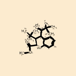 COC(=O)CC(C(c1ccccc1O)C(C)C(C)(C)C)C(C)(C)C